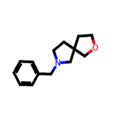 c1ccc(CN2CCC3(CCOC3)C2)cc1